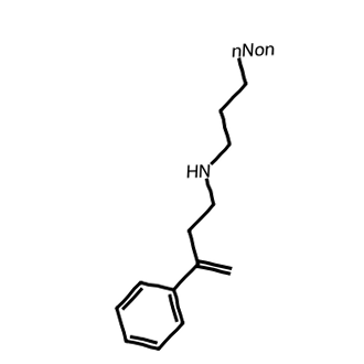 C=C(CCNCCCCCCCCCCCC)c1ccccc1